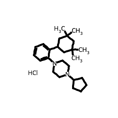 CC1(C)CC(c2ccccc2N2CCN(C3CCCC3)CC2)CC(C)(C)C1.Cl